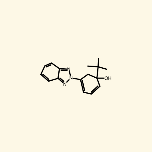 CC(C)(C)C1(O)C=CC=C(n2nc3ccccc3n2)C1